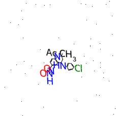 CC(=O)N1c2ccc(-c3n[nH]c(=O)o3)cc2C(Nc2ccc(Cl)cc2)CC1C